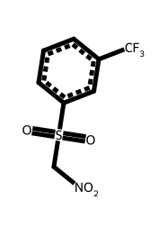 O=[N+]([O-])CS(=O)(=O)c1cccc(C(F)(F)F)c1